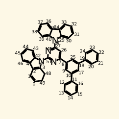 C1=Cc2c(n(-c3nc(-c4cc(-c5ccccc5)cc(-c5ccccc5)c4)cc(-n4c5ccccc5c5ccccc54)n3)c3ccccc23)CC1